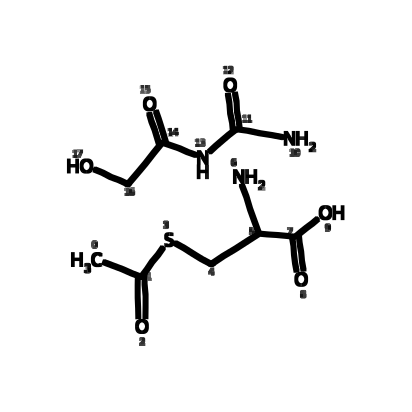 CC(=O)SCC(N)C(=O)O.NC(=O)NC(=O)CO